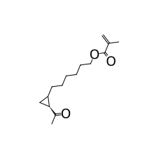 C=C(C)C(=O)OCCCCCCC1C[C@@H]1C(C)=O